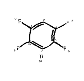 Fc1[c]c(F)c(F)cc1F.[Ti]